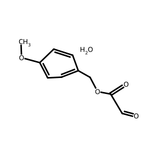 COc1ccc(COC(=O)C=O)cc1.O